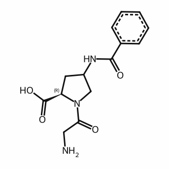 NCC(=O)N1CC(NC(=O)c2ccccc2)C[C@@H]1C(=O)O